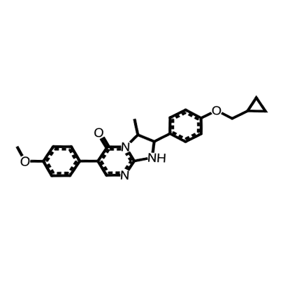 COc1ccc(-c2cnc3n(c2=O)C(C)C(c2ccc(OCC4CC4)cc2)N3)cc1